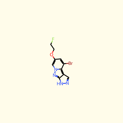 FCCOc1cc(Br)c2c3cn[nH]c3nn2c1